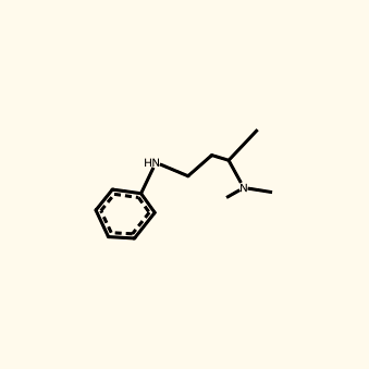 CC(CCNc1ccccc1)N(C)C